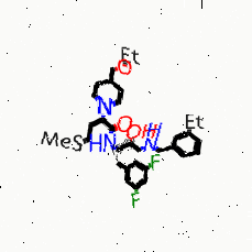 CCOCC1CCN(C(CCSC)C(=O)N[C@@H](Cc2cc(F)cc(F)c2)[C@H](O)CNCc2cccc(CC)c2)CC1